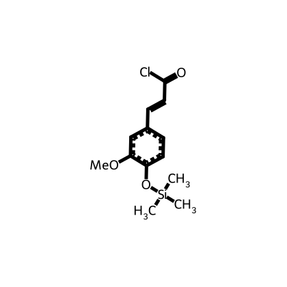 COc1cc(/C=C/C(=O)Cl)ccc1O[Si](C)(C)C